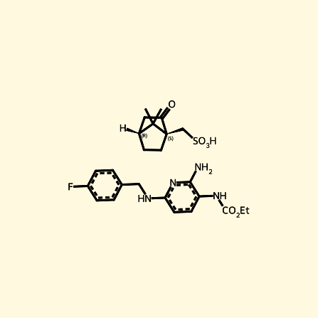 CC1(C)[C@@H]2CC[C@@]1(CS(=O)(=O)O)C(=O)C2.CCOC(=O)Nc1ccc(NCc2ccc(F)cc2)nc1N